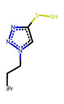 CC(C)CCn1cc(SS)nn1